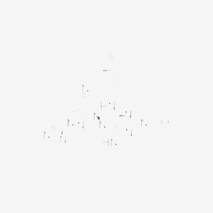 C=CC(=O)OCCNc1nc(N2CCOCC2)nc(NCC)c1N=Nc1nn(-c2ncns2)cc1C#N